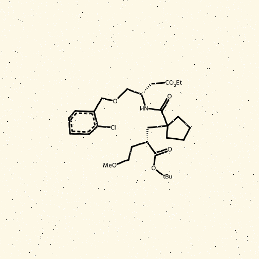 CCOC(=O)C[C@@H](COCc1ccccc1Cl)NC(=O)C1(C[C@@H](CCOC)C(=O)OC(C)(C)C)CCCC1